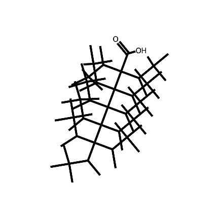 CC(C(C)(C)C)C(C(=O)O)(C(C)C(C)(C)C)C(C(C)C(C)(C)C)(C(C)C(C)(C)C)C(C(C)C(C)(C)C)(C(C)C(C)(C)C)C(C(C)C(C)(C)C)(C(C)C(C)(C)C)C(C(C)C(C)(C)C)(C(C)C(C)(C)C)C(C)C(C)(C)C